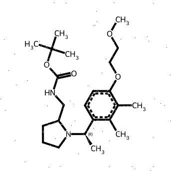 COCCOc1ccc([C@@H](C)N2CCCC2CNC(=O)OC(C)(C)C)c(C)c1C